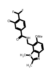 COc1ccc2nc(C)n(C)c2c1CNC(=O)c1ccc(C(F)F)c(Cl)c1